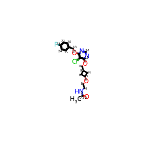 CC(=O)NCCOC1CC(COc2ncnc(OCc3ccc(F)cc3)c2Cl)C1